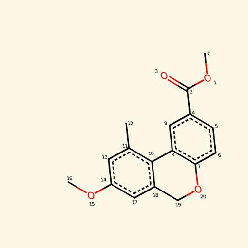 COC(=O)c1ccc2c(c1)-c1c(C)cc(OC)cc1CO2